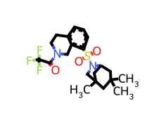 CC1(C)CC2CC(C)(CN2S(=O)(=O)c2cccc3c2CN(C(=O)C(F)(F)F)CC3)C1